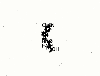 CC(O)c1cc(C(=O)NCC(C)n2ccc(-c3ccc(C#N)c(Cl)c3)n2)[nH]n1